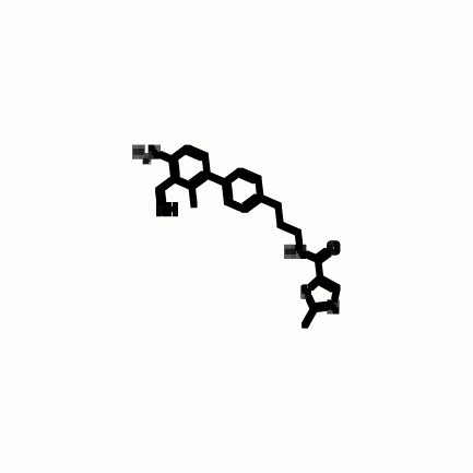 Cc1ncc(C(=O)NCCCc2ccc(-c3ccc(N)c(C=N)c3C)cc2)s1